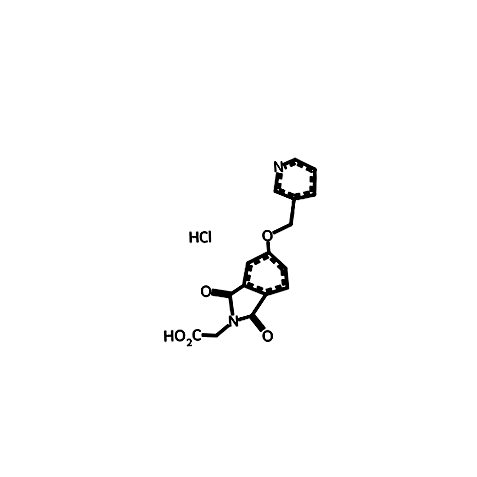 Cl.O=C(O)CN1C(=O)c2ccc(OCc3cccnc3)cc2C1=O